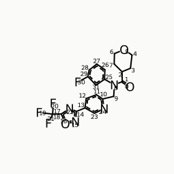 O=C(C1CCOCC1)N(Cc1ccc(-c2noc(C(F)(F)F)n2)cn1)c1cccc(F)c1